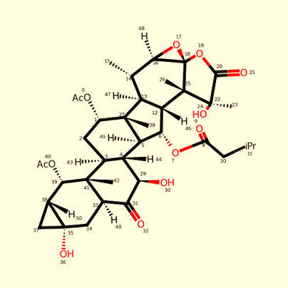 CC(=O)O[C@H]1C[C@H]2[C@H]([C@@H]3[C@@H](OC(=O)CC(C)C)[C@@H]4[C@H]([C@H](C)[C@H]5O[C@]56OC(=O)[C@@](C)(O)[C@]46C)[C@]31C)[C@@H](O)C(=O)[C@H]1C[C@@]3(O)C[C@@H]3[C@H](OC(C)=O)[C@@]12C